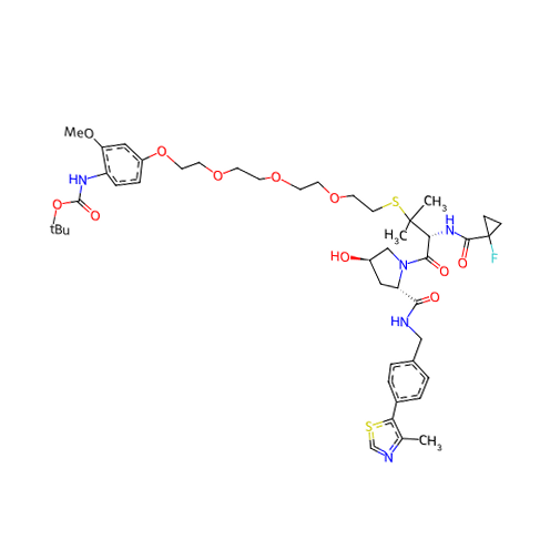 COc1cc(OCCOCCOCCOCCSC(C)(C)[C@H](NC(=O)C2(F)CC2)C(=O)N2C[C@H](O)C[C@H]2C(=O)NCc2ccc(-c3scnc3C)cc2)ccc1NC(=O)OC(C)(C)C